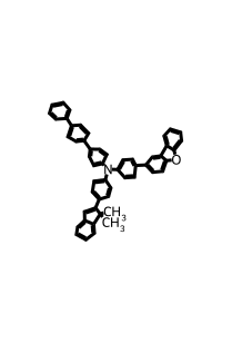 CC1(C)C(c2ccc(N(c3ccc(-c4ccc(-c5ccccc5)cc4)cc3)c3ccc(-c4ccc5oc6ccccc6c5c4)cc3)cc2)=Cc2ccccc21